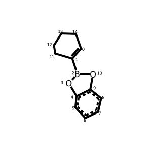 C1=C(B2Oc3ccccc3O2)CCCC1